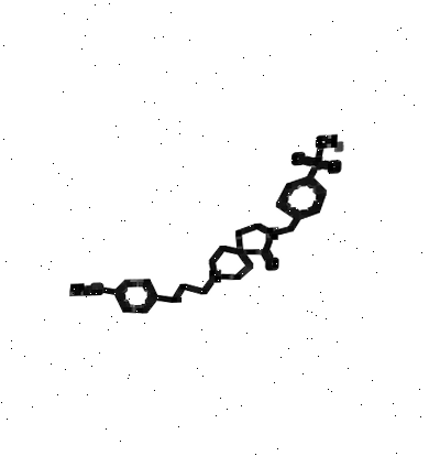 COc1ccc([CH]CCN2CCC3(CC2)CCN(Cc2ccc(S(C)(=O)=O)cc2)C3=O)cc1